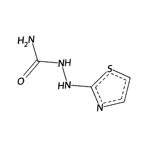 NC(=O)NNc1nccs1